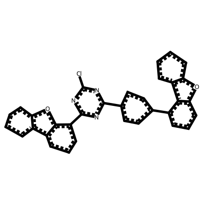 Clc1nc(-c2ccc(-c3cccc4oc5ccccc5c34)cc2)nc(-c2cccc3c2oc2ccccc23)n1